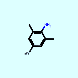 CCCc1cc(C)c(N)c(C)c1